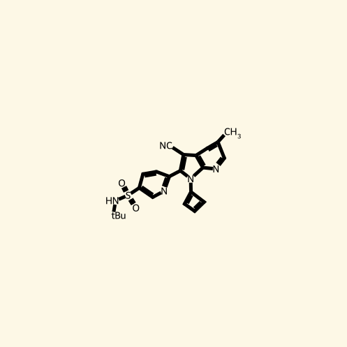 Cc1cnc2c(c1)c(C#N)c(-c1ccc(S(=O)(=O)NC(C)(C)C)cn1)n2C1=CC=C1